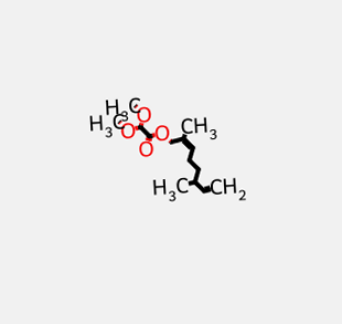 C=CC(C)CCC=C(C)COC(=O)C(OC)OC